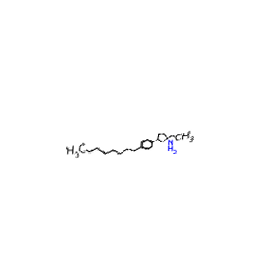 CCCCCCCCc1ccc([C@H]2CC[C@@](N)(CC)C2)cc1